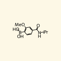 COc1cc(C(=O)NC(C)C)ccc1B(O)O